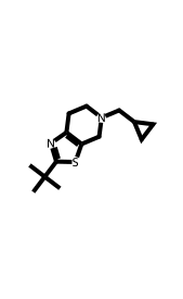 CC(C)(C)c1nc2c(s1)CN(CC1CC1)CC2